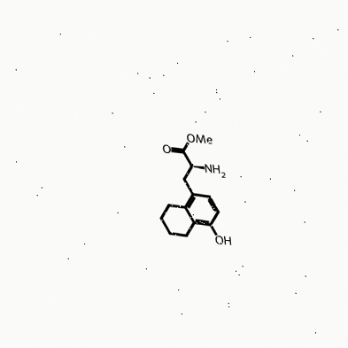 COC(=O)[C@@H](N)Cc1ccc(O)c2c1CCCC2